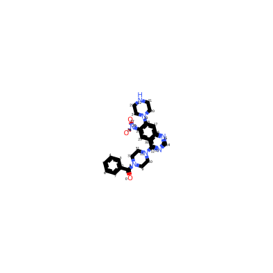 O=C(c1ccccc1)N1CCN(c2ncnc3cc(N4CCNCC4)c([N+](=O)[O-])cc23)CC1